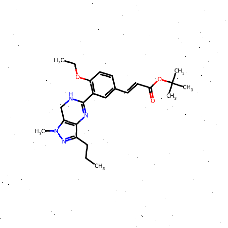 CCCc1nn(C)c2c1N=C(c1cc(/C=C/C(=O)OC(C)(C)C)ccc1OCC)NC2